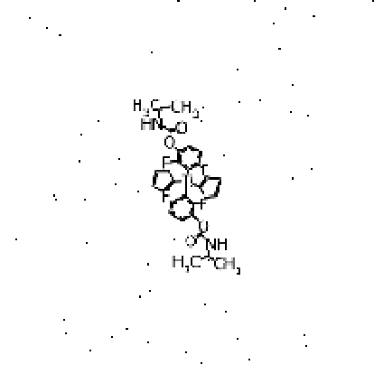 CC(C)NC(=O)Oc1ccc(F)[c]([Ti]([C]2=CC=CC2)([C]2=CC=CC2)[c]2c(F)ccc(OC(=O)NC(C)C)c2F)c1F